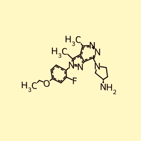 CCOc1ccc(-n2nc3c(N4CC[C@@H](N)C4)nnc(C)c3c2C)c(F)c1